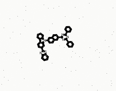 c1ccc(-c2nc(-c3ccccc3)nc(-c3ccc4cc(-n5c6ccccc6c6ccc(-c7nc8ccccc8s7)cc65)ccc4c3)n2)cc1